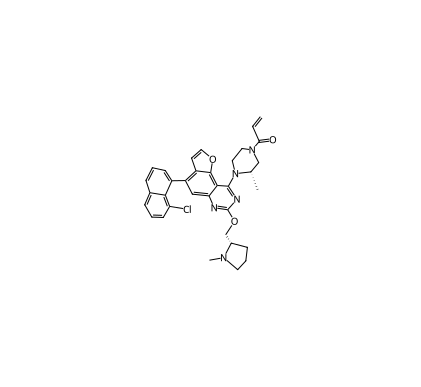 C=CC(=O)N1CCN(c2nc(OC[C@@H]3CCCN3C)nc3cc(-c4cccc5cccc(Cl)c45)c4ccoc4c23)[C@@H](C)C1